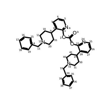 O=C(Oc1ncccc1C1CCN(Cc2ccccc2)CC1)Oc1ncccc1C1CCN(Cc2ccccc2)CC1